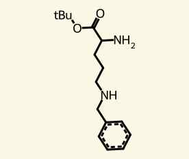 CC(C)(C)OC(=O)C(N)CCCNCc1ccccc1